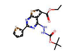 CCOC(=O)c1csc2nc(-c3cccs3)nc(NNC(=O)OC(C)(C)C)c12